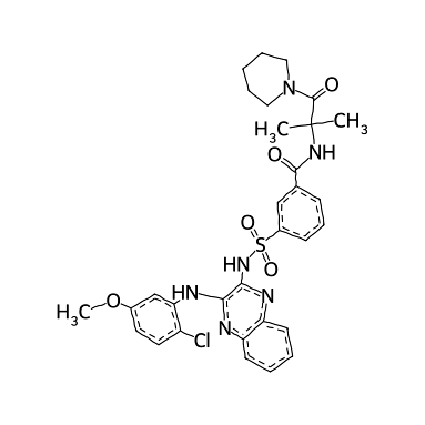 COc1ccc(Cl)c(Nc2nc3ccccc3nc2NS(=O)(=O)c2cccc(C(=O)NC(C)(C)C(=O)N3CCCCC3)c2)c1